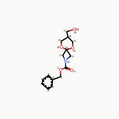 O=C(OCc1ccccc1)N1CC2(C1)OCC(CO)CO2